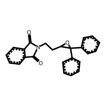 O=C1c2ccccc2C(=O)N1CCC1OC1(c1ccccc1)c1ccccc1